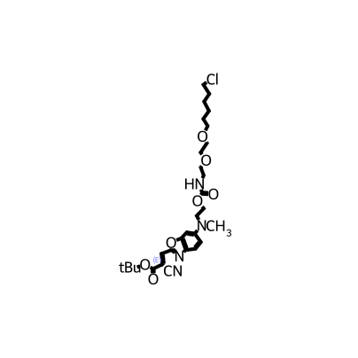 CN(CCOC(=O)NCCOCCOCCCCCCCl)c1ccc2nc(/C=C(\C#N)C(=O)OC(C)(C)C)oc2c1